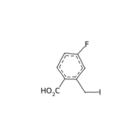 O=C(O)c1ccc(F)cc1CI